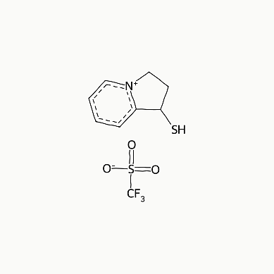 O=S(=O)([O-])C(F)(F)F.SC1CC[n+]2ccccc21